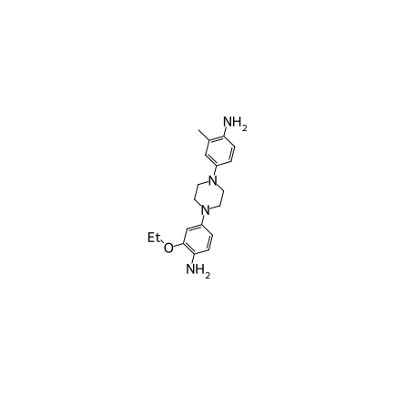 CCOc1cc(N2CCN(c3ccc(N)c(C)c3)CC2)ccc1N